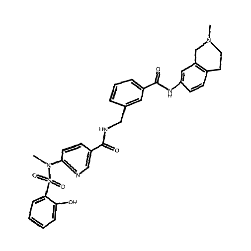 CN1CCc2ccc(NC(=O)c3cccc(CNC(=O)c4ccc(N(C)S(=O)(=O)c5ccccc5O)nc4)c3)cc2C1